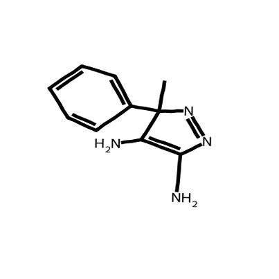 CC1(c2ccccc2)N=NC(N)=C1N